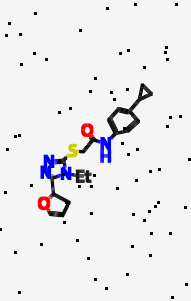 CCn1c(SCC(=O)Nc2ccc(C3CC3)cc2)nnc1C1CC=CO1